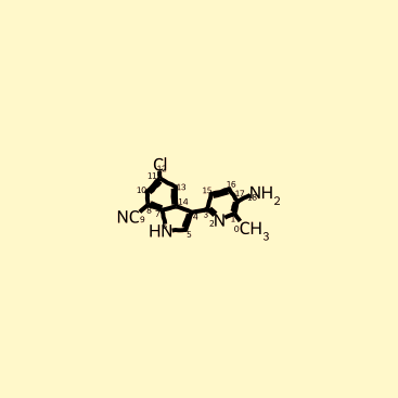 Cc1nc(-c2c[nH]c3c(C#N)cc(Cl)cc23)ccc1N